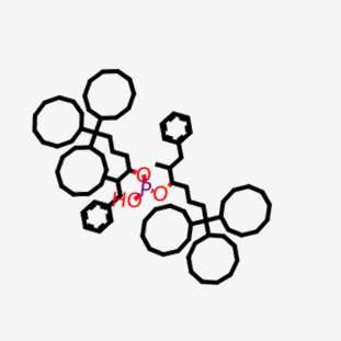 CC(Cc1ccccc1)C(CCCC(C1CCCCCCCCC1)(C1CCCCCCCCC1)C1CCCCCCCCC1)OP(O)OC(CCCC(C1CCCCCCCCC1)(C1CCCCCCCCC1)C1CCCCCCCCC1)C(C)Cc1ccccc1